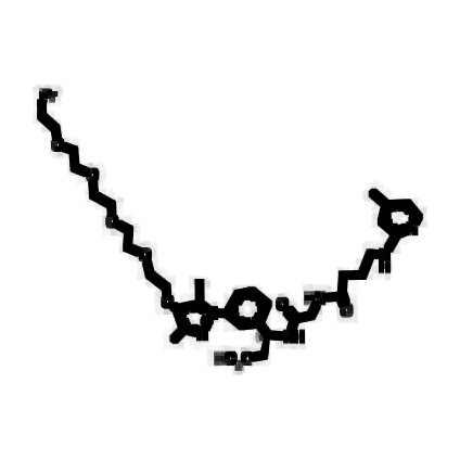 Cc1ccnc(NCCCC(=O)NCC(=O)N[C@@H](CC(=O)O)c2cccc(-n3nc(C)c(OCCOCCOCCOCCOCCC(C)C)c3C)c2)c1